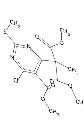 COC(=O)c1c(Cl)nc(SC)nc1C(C)(C(=O)OC)C(=O)OC